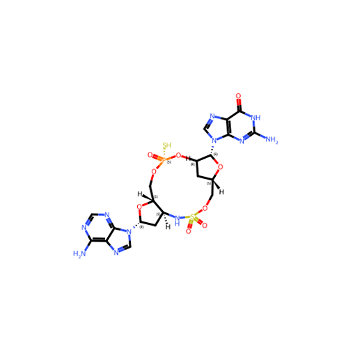 Nc1nc2c(ncn2[C@@H]2O[C@@H]3COS(=O)(=O)N[C@H]4C[C@H](n5cnc6c(N)ncnc65)O[C@@H]4CO[P@](=O)(S)O[C@@H]2C3)c(=O)[nH]1